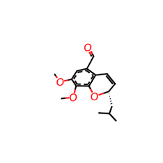 COc1cc(C=O)c2c(c1OC)O[C@@H](CC(C)C)C=C2